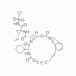 C=C[C@@H]1C[C@]1(NC(=O)[C@@H]1C[C@@H]2CN1C(=O)[C@H](C1CCCCC1)NC(=O)OCCCC/C=C/c1cccc3c1CN(C3)C(=O)O2)C(=O)NS(=O)(=O)C1CC1